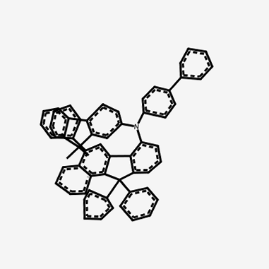 CC1(C)c2ccccc2-c2ccc(N(c3ccc(-c4ccccc4)cc3)c3cccc4c3-c3cc(-c5ccccc5)c5ccccc5c3C4(c3ccccc3)c3ccccc3)cc21